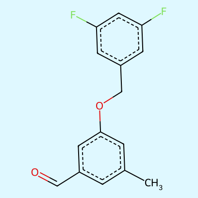 Cc1cc(C=O)cc(OCc2cc(F)cc(F)c2)c1